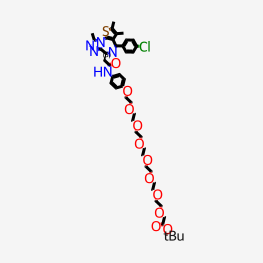 Cc1sc2c(c1C)C(c1ccc(Cl)cc1)=N[C@@H](CC(=O)Nc1ccc(OCCOCCOCCOCCOCCOCCOCCOCC(=O)OC(C)(C)C)cc1)c1nnc(C)n1-2